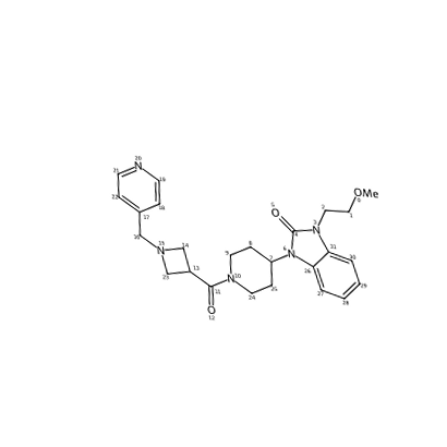 COCCn1c(=O)n(C2CCN(C(=O)C3CN(Cc4ccncc4)C3)CC2)c2ccccc21